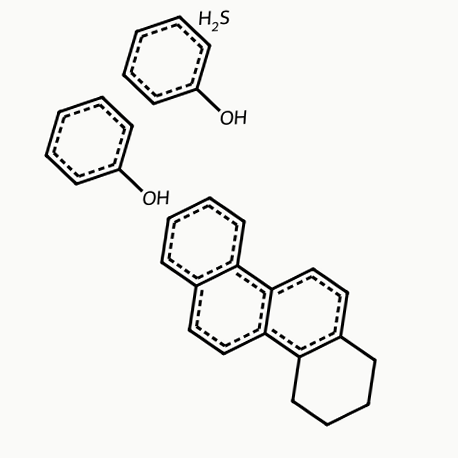 Oc1ccccc1.Oc1ccccc1.S.c1ccc2c(c1)ccc1c3c(ccc12)CCCC3